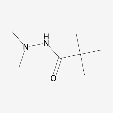 CN(C)NC(=O)C(C)(C)C